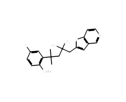 COc1ccc(F)cc1C(C)(C)CC(O)(Cc1cc2cnccc2s1)C(F)(F)F